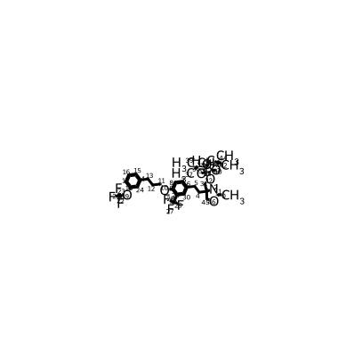 CC1=NC(CCc2ccc(OCCCc3cccc(OC(F)(F)F)c3)c(C(F)(F)F)c2)(COP(=O)(OC(C)(C)C)OC(C)(C)C)CO1